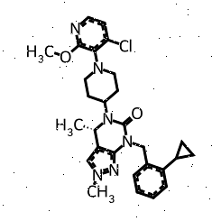 COc1nccc(Cl)c1N1CCC(N2C(=O)N(Cc3ccccc3C3CC3)c3nn(C)cc3[C@@H]2C)CC1